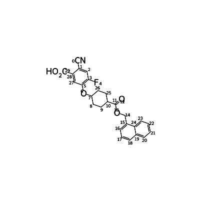 N#Cc1cc(F)c(OC2CCC(C(=O)OCc3cccc4ccccc34)CC2)cc1C(=O)O